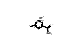 Cc1cc(C(N)=O)no1.Cl